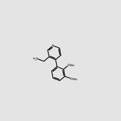 COc1cccc(-c2ccncc2CN)c1OC